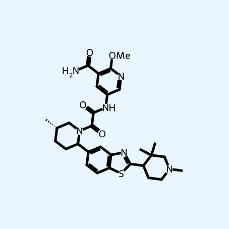 COc1ncc(NC(=O)C(=O)N2C[C@@H](C)CCC2c2ccc3sc(C4CCN(C)CC4(C)C)nc3c2)cc1C(N)=O